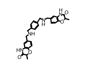 CC1Oc2ccc(CNCc3ccc(CNCc4ccc5c(c4)NC(=O)C(C)O5)cc3)cc2NC1=O